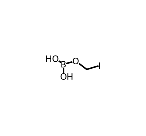 OB(O)OCI